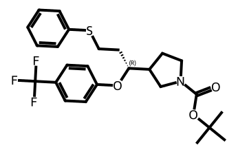 CC(C)(C)OC(=O)N1CCC([C@@H](CCSc2ccccc2)Oc2ccc(C(F)(F)F)cc2)C1